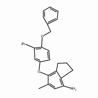 Cc1cc(N)c2c(c1Oc1ccc(OCc3ccccc3)c(C(C)C)c1)CCC2